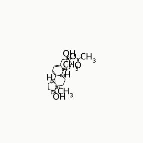 CC(=O)O[C@]1(O)CC[C@@]2(C)C(=CC=C3[C@@H]4CC[C@H](O)[C@@]4(C)CC[C@@H]32)C1